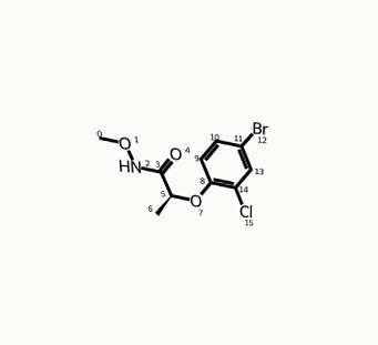 CONC(=O)[C@H](C)Oc1ccc(Br)cc1Cl